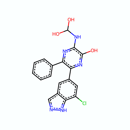 Oc1nc(-c2cc(Cl)c3[nH]ncc3c2)c(-c2ccccc2)nc1NC(O)O